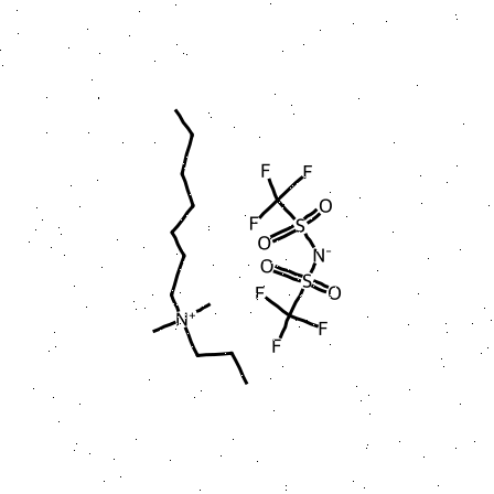 CCCCCCC[N+](C)(C)CCC.O=S(=O)([N-]S(=O)(=O)C(F)(F)F)C(F)(F)F